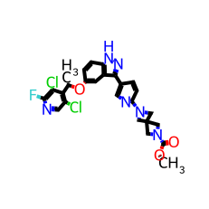 COC(=O)N1CC2(C1)CN(c1ccc(-c3n[nH]c4ccc(O[C@H](C)c5c(Cl)cnc(F)c5Cl)cc34)cn1)C2